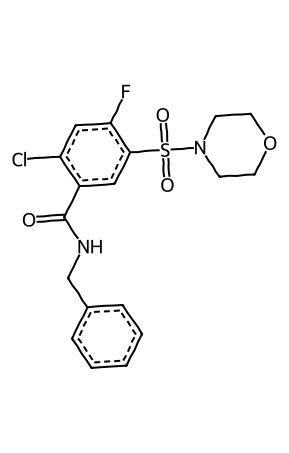 O=C(NCc1ccccc1)c1cc(S(=O)(=O)N2CCOCC2)c(F)cc1Cl